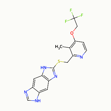 Cc1c(OCC(F)(F)F)ccnc1CSc1nc2cc3[nH]cnc3cc2[nH]1